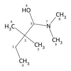 CCC(C)(C)C(O)N(C)C